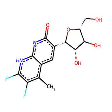 Cc1c2cc([C@@H]3O[C@H](CO)C(O)[C@@H]3O)c(=O)nc-2[nH]c(F)c1F